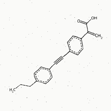 C=C(C(=O)O)c1ccc(C#Cc2ccc(CCC)cc2)cc1